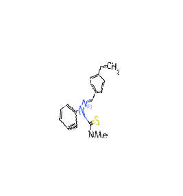 C=Cc1ccc(/C=N/N(C(=S)NC)c2ccccc2)cc1